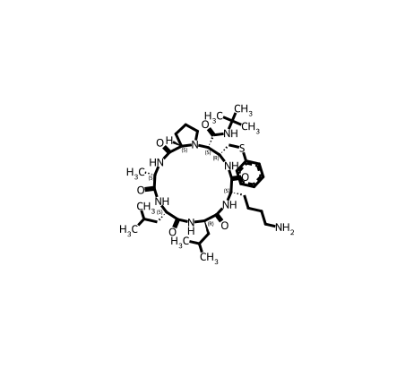 CC(C)C[C@@H]1NC(=O)[C@H](C)NC(=O)[C@@H]2CCCN2[C@H](C(=O)NC(C)(C)C)[C@H](CSc2ccccc2)NC(=O)[C@H](CCCCN)NC(=O)[C@@H](CC(C)C)NC1=O